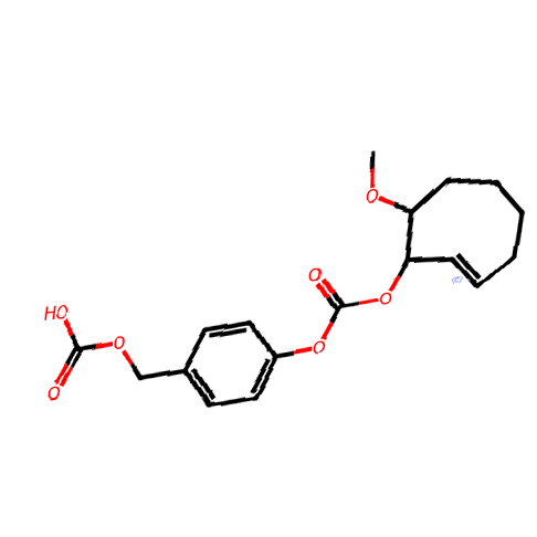 COC1CCCC/C=C/C1OC(=O)Oc1ccc(COC(=O)O)cc1